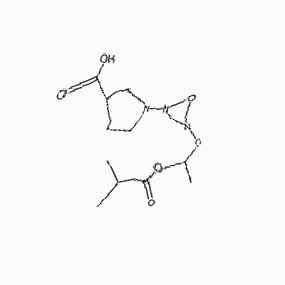 CC(OC(=O)C(C)C)On1on1N1CCC(C(=O)O)C1